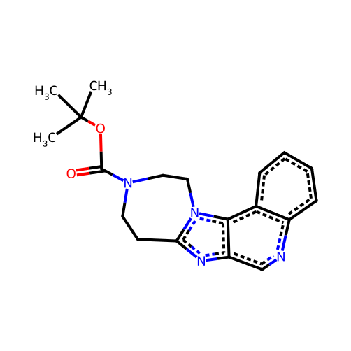 CC(C)(C)OC(=O)N1CCc2nc3cnc4ccccc4c3n2CC1